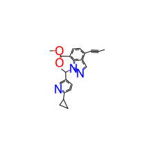 CC#Cc1ccc(C(=O)OC)c2c1cnn2C(C)c1ccc(C2CC2)nc1